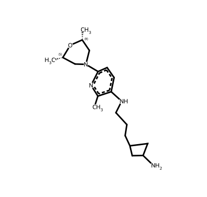 Cc1nc(N2C[C@@H](C)O[C@@H](C)C2)ccc1NCCCC1CC(N)C1